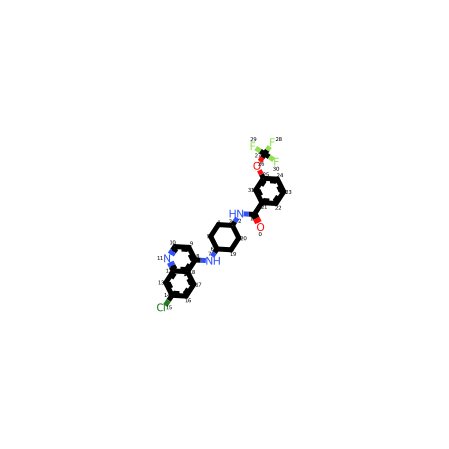 O=C(NC1CCC(Nc2ccnc3cc(Cl)ccc23)CC1)c1cccc(OC(F)(F)F)c1